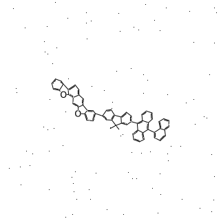 CC1(C)c2cc(-c3ccc4oc5cc6c(ccc7c8ccccc8oc67)cc5c4c3)ccc2-c2ccc(-c3c4ccccc4c(-c4cccc5ccccc45)c4ccccc34)cc21